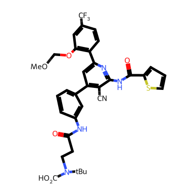 COCOc1cc(C(F)(F)F)ccc1-c1cc(-c2cccc(NC(=O)CCN(C(=O)O)C(C)(C)C)c2)c(C#N)c(NC(=O)c2cccs2)n1